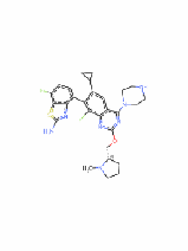 CN1CCC[C@H]1COc1nc(N2CCNCC2)c2cc(C3CC3)c(-c3ccc(F)c4sc(N)nc34)c(F)c2n1